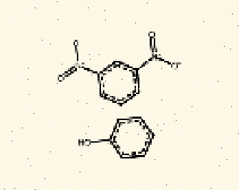 O=[N+]([O-])c1cccc([N+](=O)[O-])c1.Oc1ccccc1